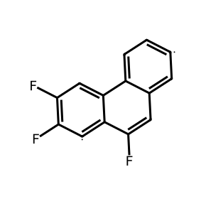 Fc1[c]c2c(F)cc3c[c]ccc3c2cc1F